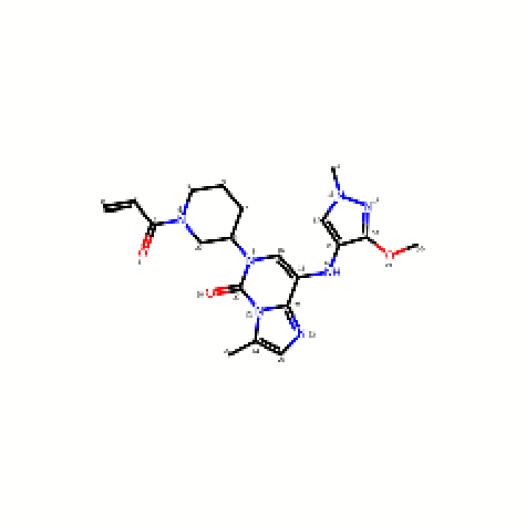 C=CC(=O)N1CCCC(n2cc(Nc3cn(C)nc3OC)c3ncc(C)n3c2=O)C1